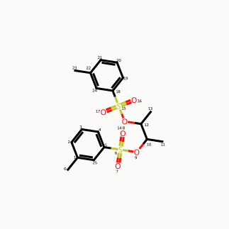 Cc1cccc(S(=O)(=O)OC(C)C(C)OS(=O)(=O)c2cccc(C)c2)c1